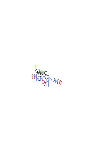 C=CC(=O)Nc1cc(Nc2cc(N3OCC[C@@H]3c3cc(F)cc(F)c3)ncn2)c(OC)cc1N1CCC(N2C[C@@H](C)O[C@@H](C)C2)CC1